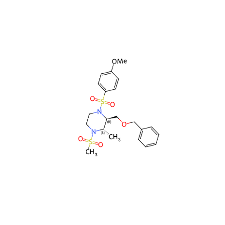 COc1ccc(S(=O)(=O)N2CCN(S(C)(=O)=O)[C@@H](C)[C@@H]2COCc2ccccc2)cc1